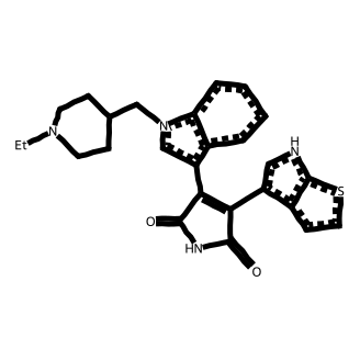 CCN1CCC(Cn2cc(C3=C(c4c[nH]c5sccc45)C(=O)NC3=O)c3ccccc32)CC1